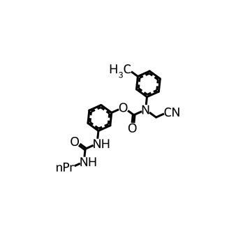 CCCNC(=O)Nc1cccc(OC(=O)N(CC#N)c2cccc(C)c2)c1